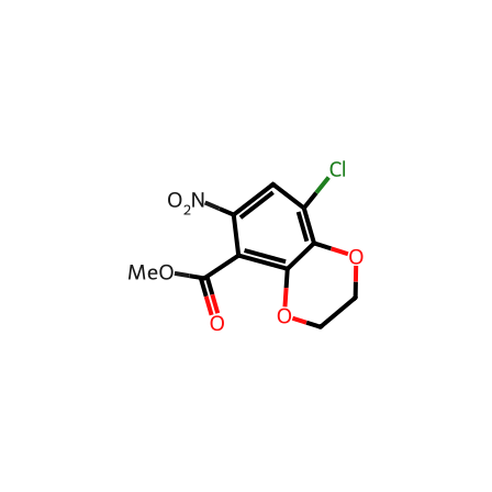 COC(=O)c1c([N+](=O)[O-])cc(Cl)c2c1OCCO2